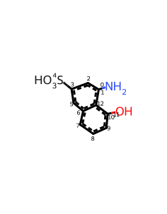 Nc1cc(S(=O)(=O)O)cc2cccc(O)c12